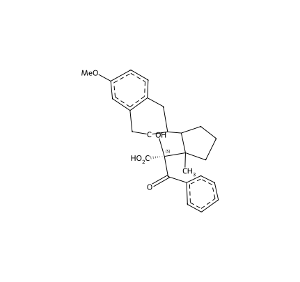 COc1ccc2c(c1)CCC(C1CCCC1(C)[C@@](O)(C(=O)O)C(=O)c1ccccc1)C2